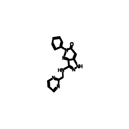 O=c1cc2[nH]nc(NCc3ncccn3)c2nn1-c1ccccc1